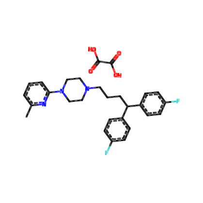 Cc1cccc(N2CCN(CCCC(c3ccc(F)cc3)c3ccc(F)cc3)CC2)n1.O=C(O)C(=O)O